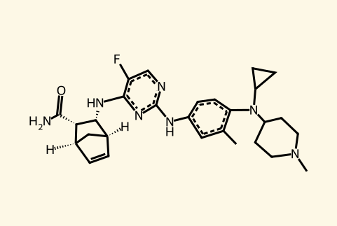 Cc1cc(Nc2ncc(F)c(N[C@H]3[C@@H](C(N)=O)[C@@H]4C=C[C@H]3C4)n2)ccc1N(C1CC1)C1CCN(C)CC1